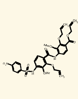 C=CCOC(=O)c1ccc(NC(=O)c2ccc(NS(=O)(=O)c3ccc([N+](=O)[O-])cc3)c(OC)c2OCC=C)c(OC)c1OCC=C